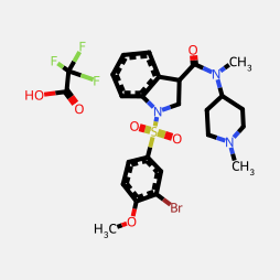 COc1ccc(S(=O)(=O)N2CC(C(=O)N(C)C3CCN(C)CC3)c3ccccc32)cc1Br.O=C(O)C(F)(F)F